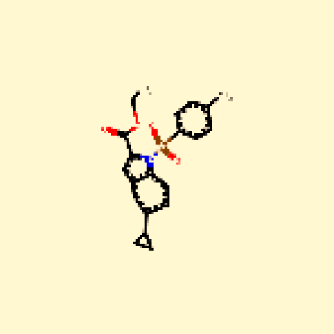 CCOC(=O)c1cc2cc(C3CC3)ccc2n1S(=O)(=O)c1ccc(C)cc1